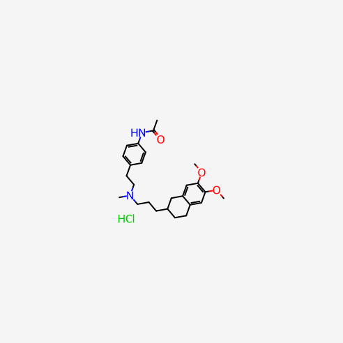 COc1cc2c(cc1OC)CC(CCCN(C)CCc1ccc(NC(C)=O)cc1)CC2.Cl